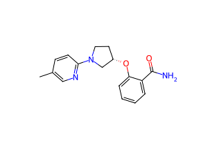 Cc1ccc(N2CC[C@H](Oc3ccccc3C(N)=O)C2)nc1